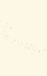 COC(=O)N[C@H](C(=O)N1CCC[C@H]1c1nc(-c2ccc(-c3ccc(-c4nc([C@@H]5CCCN5C(=O)[C@@H](NC(=O)OC)C(C)C)[nH]c4CC(=O)O)cc3)cc2)c[nH]1)C(C)C